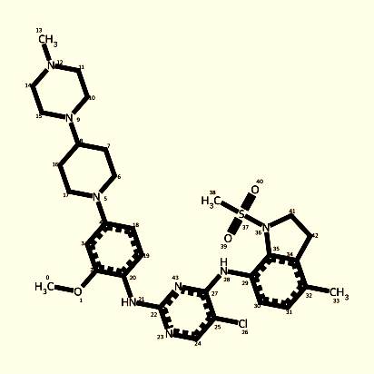 COc1cc(N2CCC(N3CCN(C)CC3)CC2)ccc1Nc1ncc(Cl)c(Nc2ccc(C)c3c2N(S(C)(=O)=O)CC3)n1